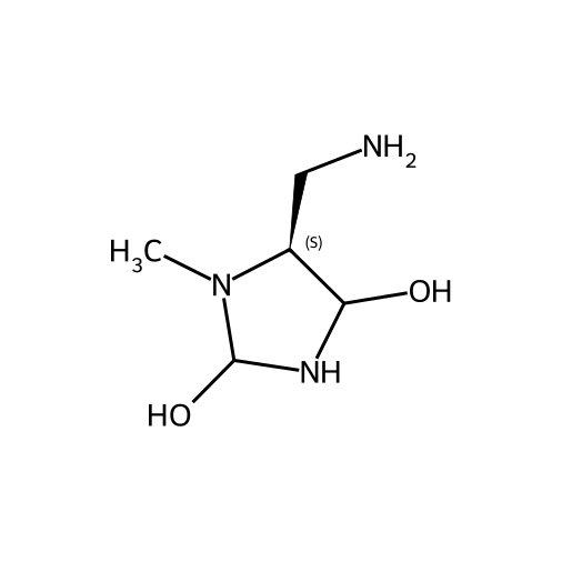 CN1C(O)NC(O)[C@@H]1CN